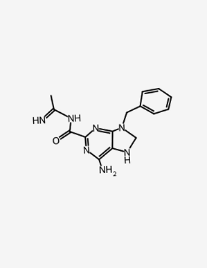 CC(=N)NC(=O)c1nc(N)c2c(n1)N(Cc1ccccc1)CN2